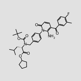 Cc1cc(C(=O)c2ccc(=O)n(-c3ccc(CN(C(=O)OC(C)(C)C)[C@@H](CC(C)C)C(=O)OC4CCCC4)cc3)c2N)ccc1F